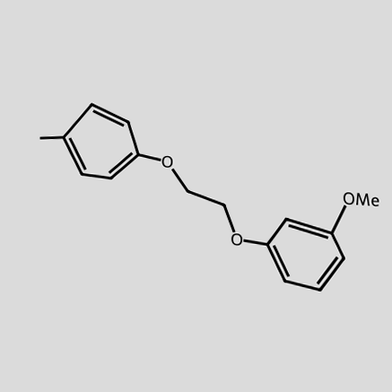 COc1cccc(OCCOc2ccc(C)cc2)c1